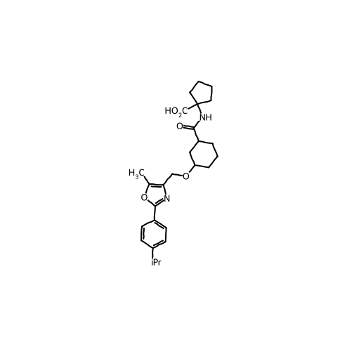 Cc1oc(-c2ccc(C(C)C)cc2)nc1COC1CCCC(C(=O)NC2(C(=O)O)CCCC2)C1